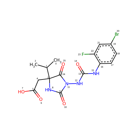 CC(C)C1(CC(=O)O)NC(=O)N(NC(=O)Nc2ccc(Br)cc2F)C1=O